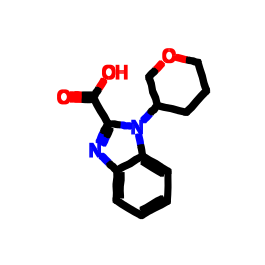 O=C(O)c1nc2ccccc2n1C1CCCOC1